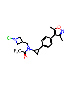 Cc1noc(C)c1-c1ccc(C2CC2N(CC2CN(Cl)C2)C(=O)C(F)(F)F)cc1